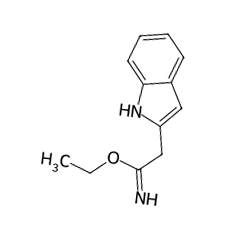 CCOC(=N)Cc1cc2ccccc2[nH]1